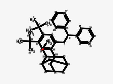 CC(C)(C)c1cc(CP(c2cnccn2)c2cnccn2)c(C23CC4CC(CC(C4)C2CP)C3)cc1C(C)(C)C